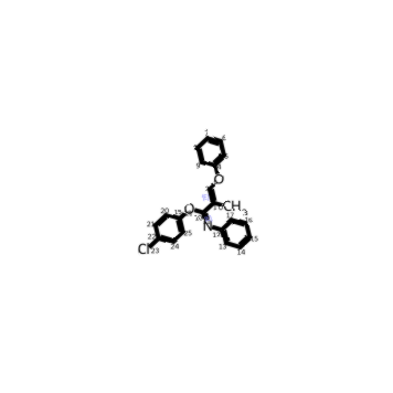 CC(=C\Oc1ccccc1)/C(=N\c1ccccc1)Oc1ccc(Cl)cc1